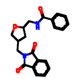 O=C(NCC1CC(CN2C(=O)c3ccccc3C2=O)CO1)c1ccccc1